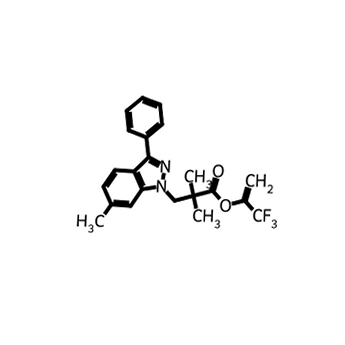 C=C(OC(=O)C(C)(C)Cn1nc(-c2ccccc2)c2ccc(C)cc21)C(F)(F)F